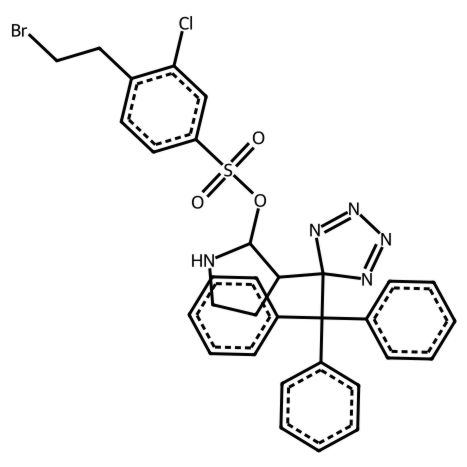 O=S(=O)(OC1NCCC1C1(C(c2ccccc2)(c2ccccc2)c2ccccc2)N=NN=N1)c1ccc(CCBr)c(Cl)c1